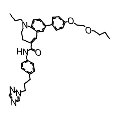 CCCCOCCOc1ccc(-c2ccc3c(c2)C=C(C(=O)Nc2ccc(CCCn4cncn4)cc2)CCN3CCC)cc1